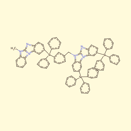 Cn1c2ccccc2n2c3cc([Si](c4ccccc4)(c4ccccc4)c4cccc(Cn5c6ccc([Si](c7ccccc7)(c7ccccc7)c7ccccc7)cc6n6c7cc([Si](c8ccccc8)(c8ccccc8)c8ccccc8)ccc7nc56)c4)ccc3nc12